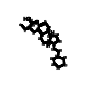 CCN(Cc1cccc2c1CC[C@@H]1[C@H]2CCN1CCC1CCCCC1)C(=O)O